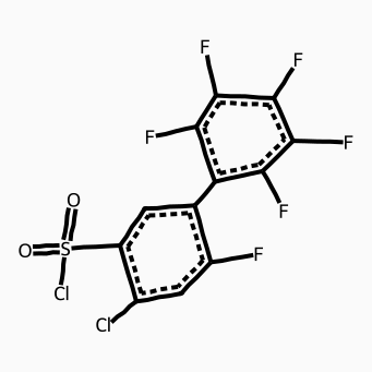 O=S(=O)(Cl)c1cc(-c2c(F)c(F)c(F)c(F)c2F)c(F)cc1Cl